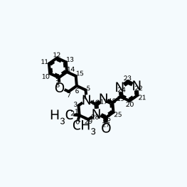 CC1(C)CN(CC2COc3ccccc3C2)c2nc(-c3ccncn3)cc(=O)n2C1